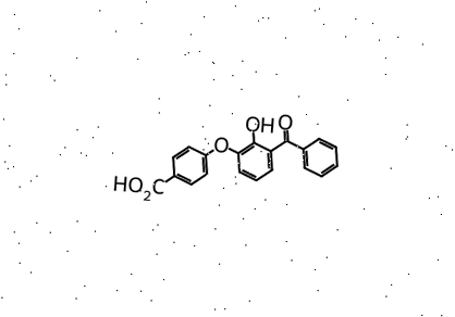 O=C(O)c1ccc(Oc2cccc(C(=O)c3ccccc3)c2O)cc1